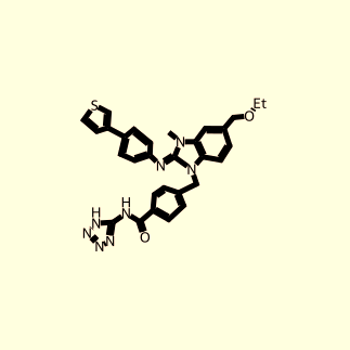 CCOCc1ccc2c(c1)n(C)c(=Nc1ccc(-c3ccsc3)cc1)n2Cc1ccc(C(=O)Nc2nnn[nH]2)cc1